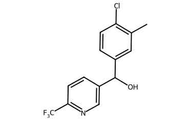 Cc1cc(C(O)c2ccc(C(F)(F)F)nc2)ccc1Cl